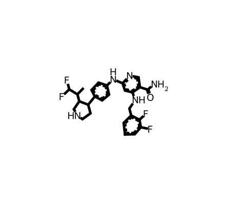 CC(C(F)F)C1CNCCC1c1ccc(Nc2cc(NCc3cccc(F)c3F)c(C(N)=O)cn2)cc1